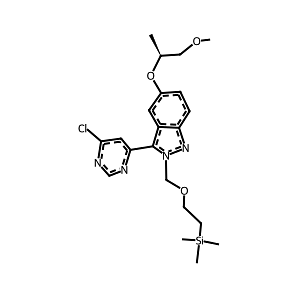 COC[C@H](C)Oc1ccc2nn(COCC[Si](C)(C)C)c(-c3cc(Cl)ncn3)c2c1